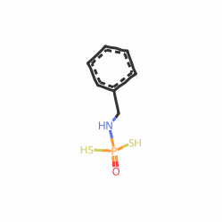 O=P(S)(S)NCc1ccccc1